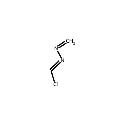 C=N/N=C/Cl